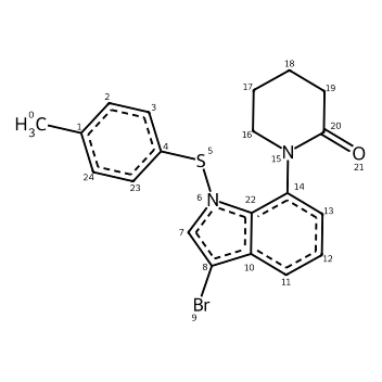 Cc1ccc(Sn2cc(Br)c3cccc(N4CCCCC4=O)c32)cc1